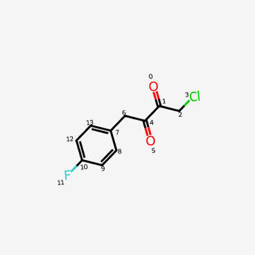 O=C(CCl)C(=O)Cc1ccc(F)cc1